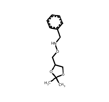 CC1(C)OCC(CONCc2ccccc2)O1